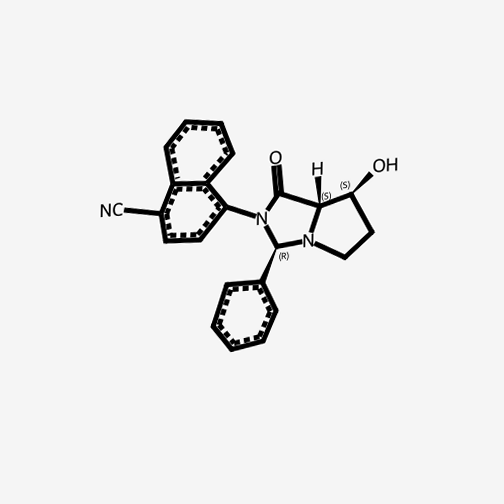 N#Cc1ccc(N2C(=O)[C@@H]3[C@@H](O)CCN3[C@H]2c2ccccc2)c2ccccc12